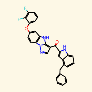 O=C(c1cc2c(Cc3ccccc3)cccc2[nH]1)c1cnn2c1[nH]c1cc(Oc3cccc(F)c3F)ccc12